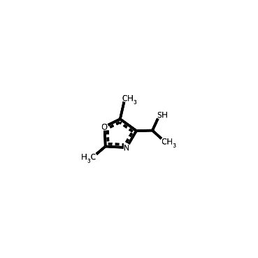 Cc1nc(C(C)S)c(C)o1